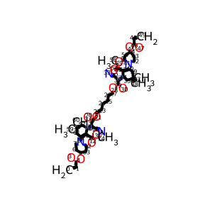 C=CC(=O)OC1CCN(C2=C(C(=O)OC)/C(=C(\C#N)C(=O)OCCCCCCOC(=O)/C(C#N)=C3\CC(C)(C)CC(N4CCC(OC(=O)C=C)CC4)=C3C(=O)OC)CC(C)(C)C2)CC1